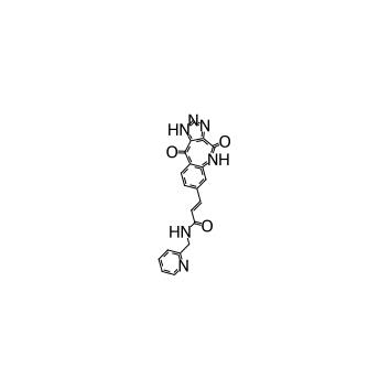 O=C(C=Cc1ccc2c(=O)c3[nH]nnc3c(=O)[nH]c2c1)NCc1ccccn1